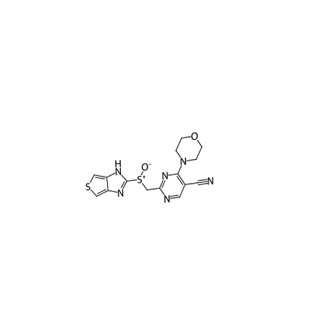 N#Cc1cnc(C[S+]([O-])c2nc3cscc3[nH]2)nc1N1CCOCC1